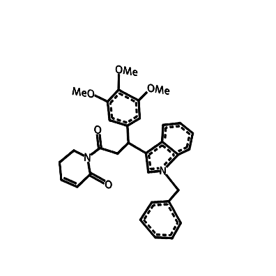 COc1cc(C(CC(=O)N2CCC=CC2=O)c2cn(Cc3ccccc3)c3ccccc23)cc(OC)c1OC